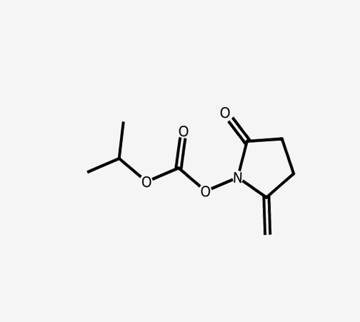 C=C1CCC(=O)N1OC(=O)OC(C)C